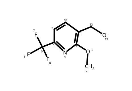 COc1nc(C(F)(F)F)ccc1C[O]